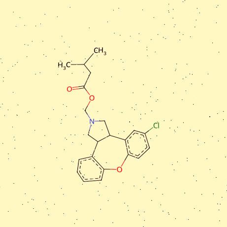 CC(C)CC(=O)OCN1CC2c3ccccc3Oc3ccc(Cl)cc3C2C1